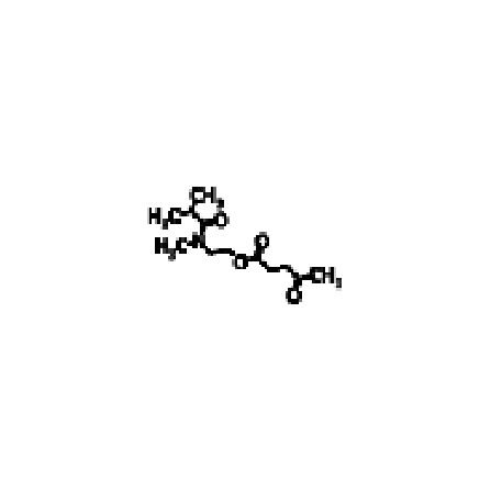 CC(=O)CCC(=O)OCCN(C)C(=O)C(C)C